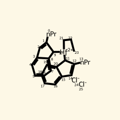 CCCC1=Cc2ccccc2[CH]1[Hf+2]1([CH]2C(CCC)=Cc3ccccc32)[CH2]C[CH2]1.[Cl-].[Cl-]